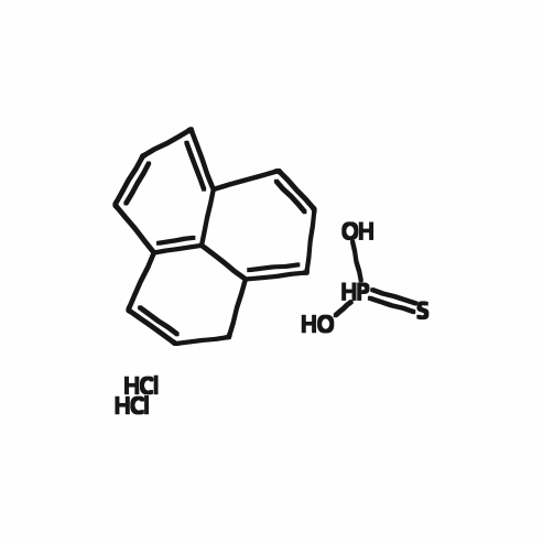 C1=Cc2cccc3cccc(c23)C1.Cl.Cl.O[PH](O)=S